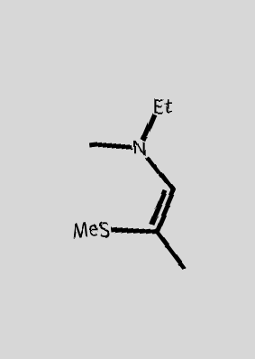 CCN(C)/C=C(/C)SC